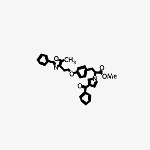 COC(=O)C(Cc1ccc(OCCc2nc(-c3ccccc3)oc2C)cc1)n1ccc(C(=O)c2ccccc2)c1